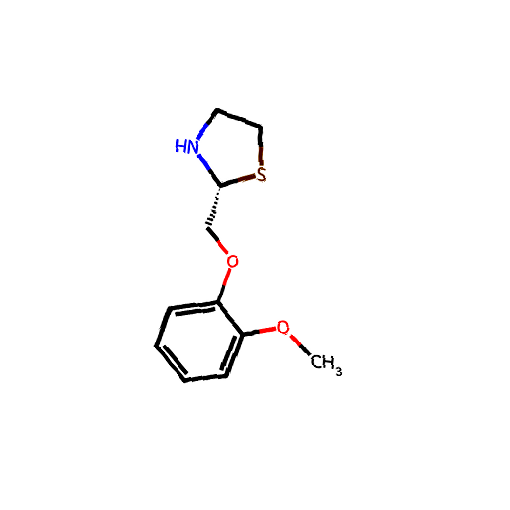 COc1ccccc1OC[C@@H]1NCCS1